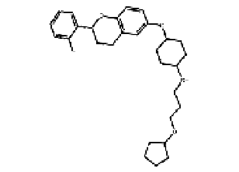 Fc1ccccc1C1CCc2cc(OC3CCC(NCCCOC4CCCC4)CC3)ccc2O1